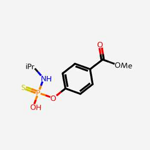 COC(=O)c1ccc(OP(O)(=S)NC(C)C)cc1